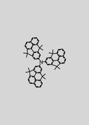 CC1(C)c2cc(N(c3cc4c5c(c3)C(C)(C)c3cccc6ccc(c-5c36)C4(C)C)c3cc4c5c(c3)C(C)(C)c3cccc6ccc(c-5c36)C4(C)C)cc3c2-c2c1ccc1cccc(c21)C3(C)C